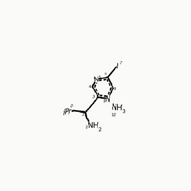 CC(C)C(N)c1cnc(I)cn1.N